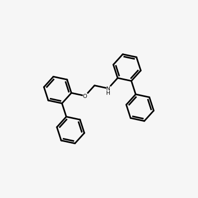 c1ccc(-c2ccccc2NCOc2ccccc2-c2ccccc2)cc1